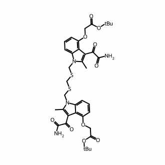 Cc1c(C(=O)C(N)=O)c2c(OCC(=O)OC(C)(C)C)cccc2n1CSCSCn1c(C)c(C(=O)C(N)=O)c2c(OCC(=O)OC(C)(C)C)cccc21